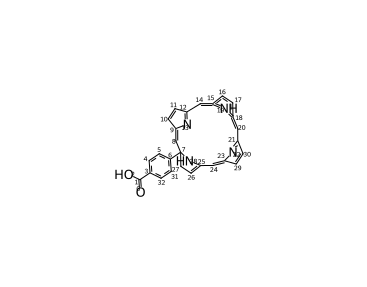 O=C(O)c1ccc(C23C=C4C=CC(=N4)C=c4ccc([nH]4)=CC4=NC(=CC(=CC2)N3)C=C4)cc1